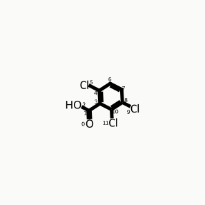 O=C(O)c1c(Cl)ccc(Cl)c1Cl